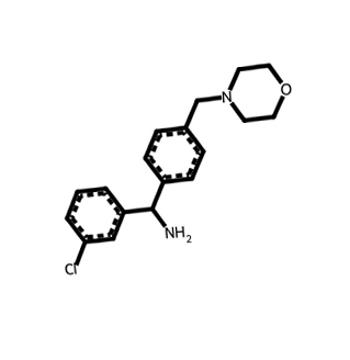 NC(c1ccc(CN2CCOCC2)cc1)c1cccc(Cl)c1